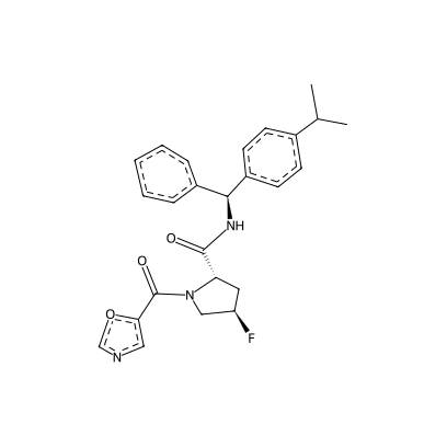 CC(C)c1ccc([C@@H](NC(=O)[C@@H]2C[C@@H](F)CN2C(=O)c2cnco2)c2ccccc2)cc1